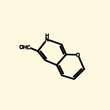 O=CC1=CC2=CC=COC2=CN1